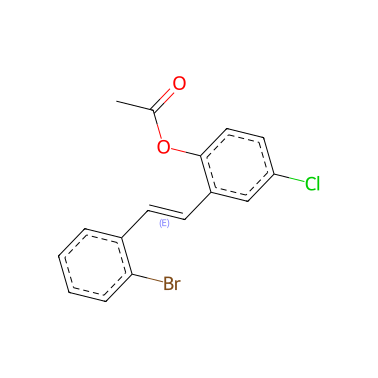 CC(=O)Oc1ccc(Cl)cc1/C=C/c1ccccc1Br